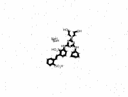 O=S(=O)(O)c1ccccc1/C=C/c1cccc(Nc2nc(Nc3ccccc3)nc(N(CCO)CCO)n2)c1S(=O)(=O)O.[NaH].[NaH]